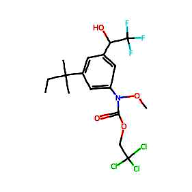 CCC(C)(C)c1cc(C(O)C(F)(F)F)cc(N(OC)C(=O)OCC(Cl)(Cl)Cl)c1